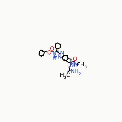 CCC(N)CNC1(C(=O)NC)Cc2cc3nc([C@@H](NC(=O)OCc4ccccc4)C4CCCCC4)[nH]c3cc2C1